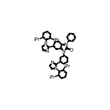 CC(C)c1cccc(C(C)C)c1-n1ccnc1-c1cccc(-n2c(=O)n(-c3ccccc3)c3ccc(-c4nccn4-c4c(C(C)C)cccc4C(C)C)cc32)c1